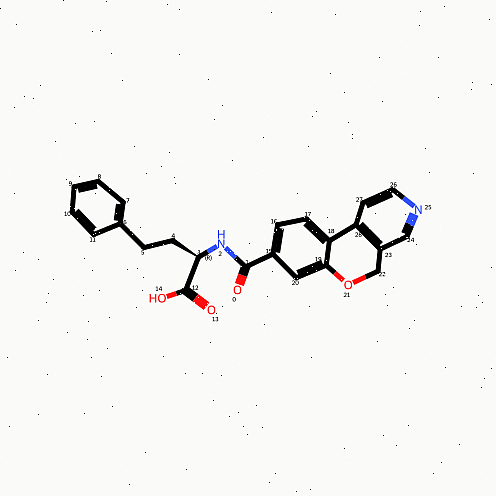 O=C(N[C@H](CCc1ccccc1)C(=O)O)c1ccc2c(c1)OCc1cnccc1-2